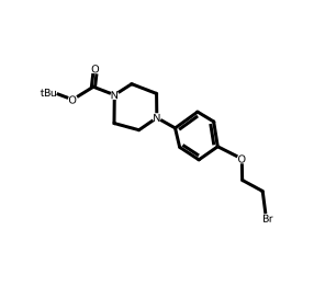 CC(C)(C)OC(=O)N1CCN(c2ccc(OCCBr)cc2)CC1